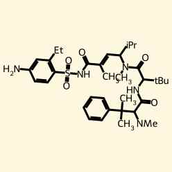 CCc1cc(N)ccc1S(=O)(=O)NC(=O)/C(C)=C/C(C(C)C)N(C)C(=O)C(NC(=O)C(NC)C(C)(C)c1ccccc1)C(C)(C)C